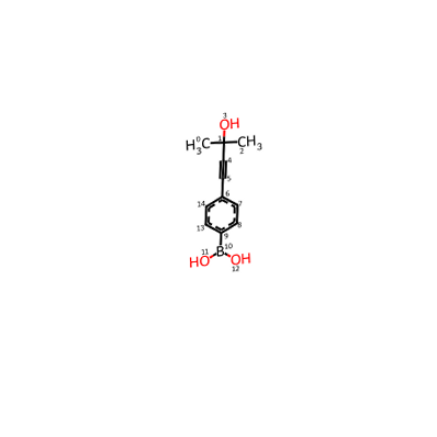 CC(C)(O)C#Cc1ccc(B(O)O)cc1